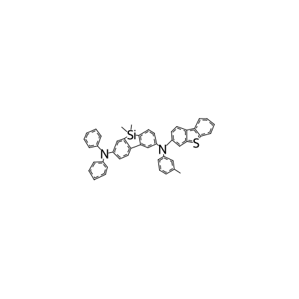 Cc1cccc(N(c2ccc3c(c2)-c2ccc(N(c4ccccc4)c4ccccc4)cc2[Si]3(C)C)c2ccc3c(c2)sc2ccccc23)c1